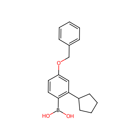 OB(O)c1ccc(OCc2ccccc2)cc1C1CCCC1